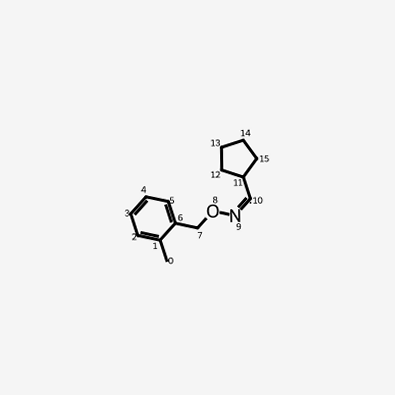 Cc1ccccc1CO/N=[C]\C1CCCC1